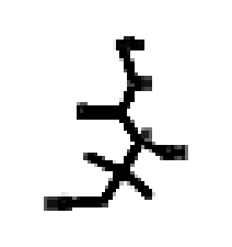 CCCCNC(=O)[C@H](O)C(C)(C)CO